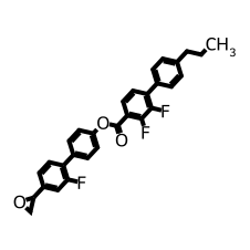 CCCc1ccc(-c2ccc(C(=O)Oc3ccc(-c4ccc(C5CO5)cc4F)cc3)c(F)c2F)cc1